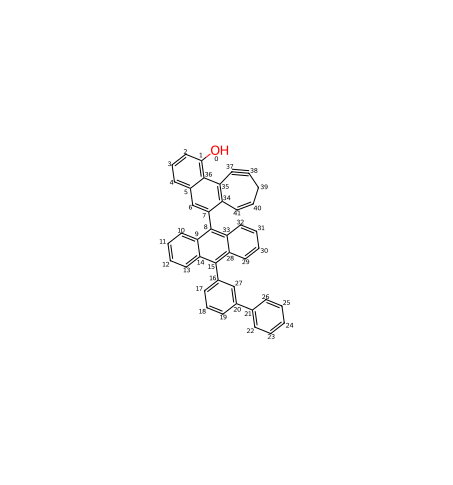 Oc1cccc2cc(-c3c4ccccc4c(-c4cccc(-c5ccccc5)c4)c4ccccc34)c3c(c12)C#CCC=C3